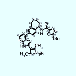 Cc1nn(C(C)C)c(C)c1-c1nc2c(-c3ccc4c(c3)CCCCC4NC(=O)c3nnc(C(C)(C)C)o3)ccnc2[nH]1